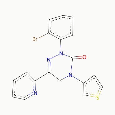 O=C1N(c2ccsc2)CC(c2ccccn2)=NN1c1ccccc1Br